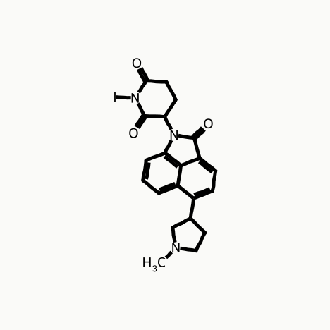 CN1CCC(c2ccc3c4c(cccc24)N(C2CCC(=O)N(I)C2=O)C3=O)C1